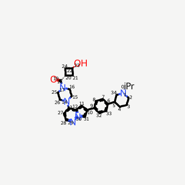 CC(C)N1CCCC(c2ccc(-c3cc4c(N5CCN(C(=O)[C@H]6C[C@H](O)C6)CC5)ccnn4c3)cc2)C1